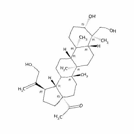 C=C(CO)[C@@H]1CC[C@]2(C(C)=O)CC[C@]3(C)C(CC[C@@H]4[C@@]5(C)CC[C@H](O)[C@@](C)(CO)[C@@H]5CC[C@]43C)[C@@H]12